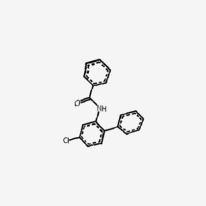 O=C(Nc1cc(Cl)ccc1-c1ccccc1)c1ccccc1